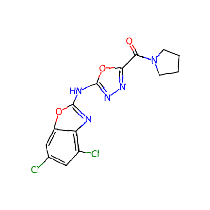 O=C(c1nnc(Nc2nc3c(Cl)cc(Cl)cc3o2)o1)N1CCCC1